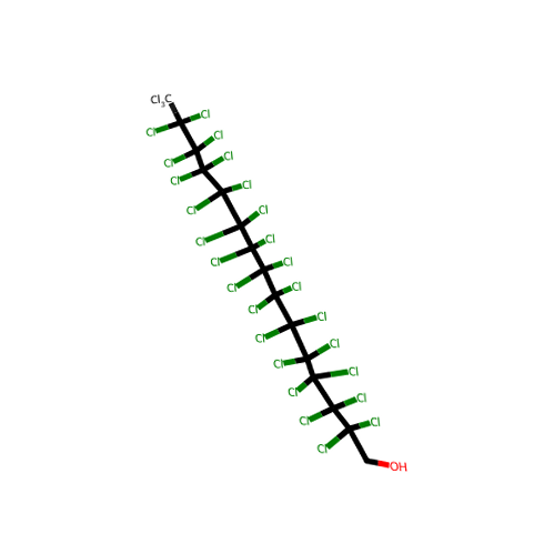 OCC(Cl)(Cl)C(Cl)(Cl)C(Cl)(Cl)C(Cl)(Cl)C(Cl)(Cl)C(Cl)(Cl)C(Cl)(Cl)C(Cl)(Cl)C(Cl)(Cl)C(Cl)(Cl)C(Cl)(Cl)C(Cl)(Cl)C(Cl)(Cl)C(Cl)(Cl)Cl